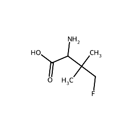 CC(C)(CF)C(N)C(=O)O